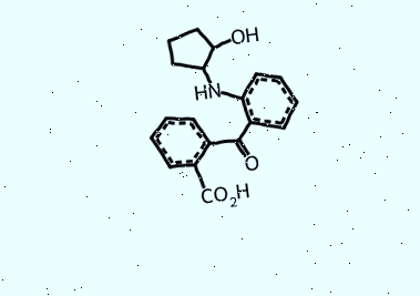 O=C(O)c1ccccc1C(=O)c1ccccc1NC1CCCC1O